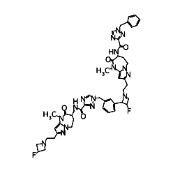 CN1C(=O)[C@@H](NC(=O)c2ncn(Cc3cccc(C4C(F)CN4CCc4cc5n(n4)CC[C@@H](NC(=O)c4ncn(Cc6ccccc6)n4)C(=O)N5C)c3)n2)CCn2nc(CCN3CC(F)C3)cc21